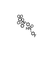 O=C(NCCc1ccc(F)cc1)c1ccc(CN2C(=O)C3(COc4cc5c(cc43)OCO5)c3ccccc32)cc1